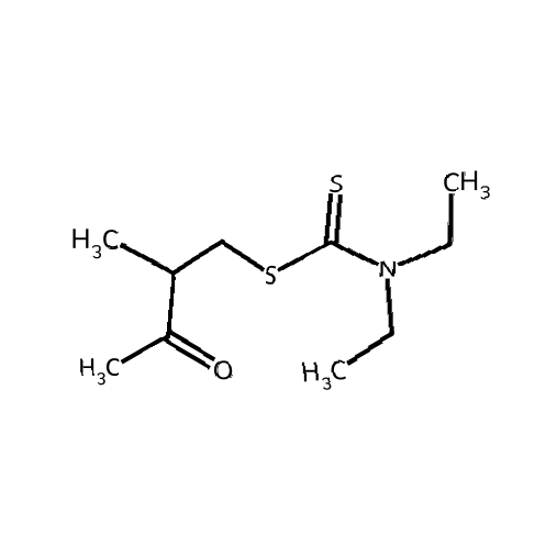 CCN(CC)C(=S)SCC(C)C(C)=O